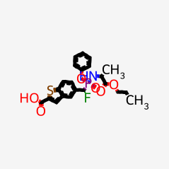 CCCOC(=O)C(C)NP(=O)(Oc1ccccc1)[C@H](F)c1ccc2sc(C(=O)O)cc2c1